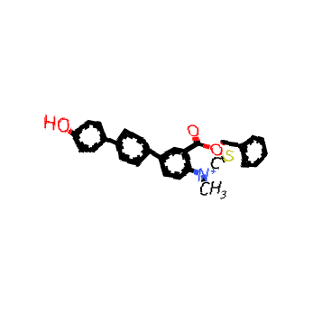 C[N+](=C=S)c1ccc(-c2ccc(-c3ccc(O)cc3)cc2)cc1C(=O)OCc1ccccc1